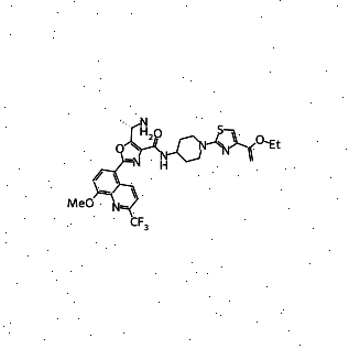 C=C(OCC)c1csc(N2CCC(NC(=O)c3nc(-c4ccc(OC)c5nc(C(F)(F)F)ccc45)oc3[C@H](C)N)CC2)n1